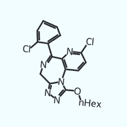 CCCCCCOc1nnc2n1-c1ccc(Cl)nc1C(c1ccccc1Cl)=NC2